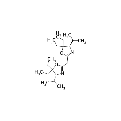 CCC1(CC)OC(CC2=N[C@H](C(C)C)C(CC)(CC)O2)=N[C@@H]1C(C)C